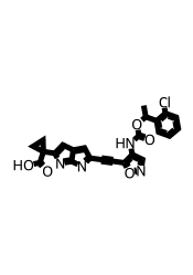 CC(OC(=O)Nc1cnoc1C#CC1=NC2=NC(C3(C(=O)O)CC3)=CC2=C1)c1ccccc1Cl